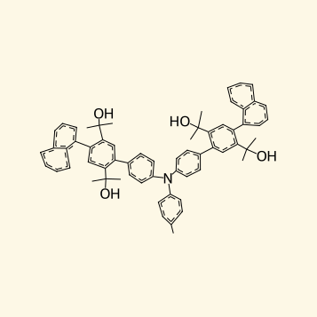 Cc1ccc(N(c2ccc(-c3cc(C(C)(C)O)c(-c4cccc5ccccc45)cc3C(C)(C)O)cc2)c2ccc(-c3cc(C(C)(C)O)c(-c4cccc5ccccc45)cc3C(C)(C)O)cc2)cc1